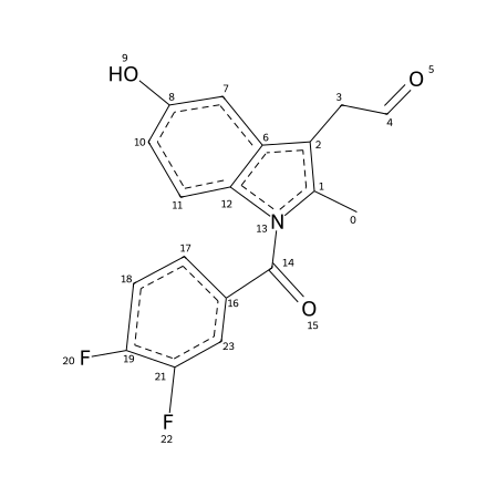 Cc1c(CC=O)c2cc(O)ccc2n1C(=O)c1ccc(F)c(F)c1